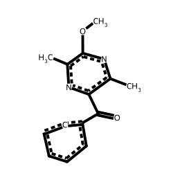 COc1nc(C)c(C(=O)c2ccccc2)nc1C